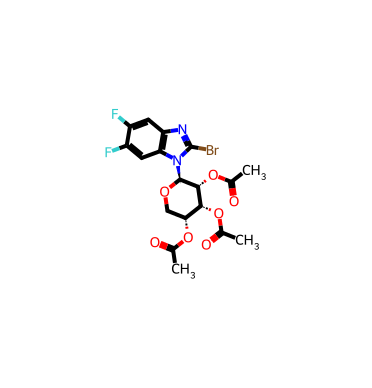 CC(=O)O[C@@H]1[C@H](OC(C)=O)[C@H](OC(C)=O)CO[C@H]1n1c(Br)nc2cc(F)c(F)cc21